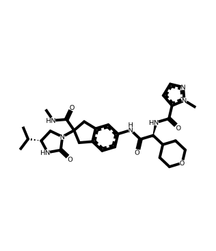 CNC(=O)C1(N2C[C@@H](C(C)C)NC2=O)Cc2ccc(NC(=O)[C@@H](NC(=O)c3ccnn3C)C3CCOCC3)cc2C1